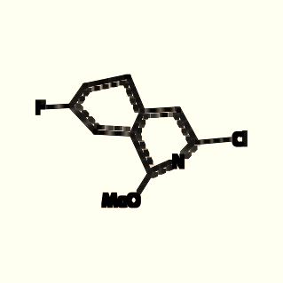 COc1nc(Cl)cc2ccc(F)cc12